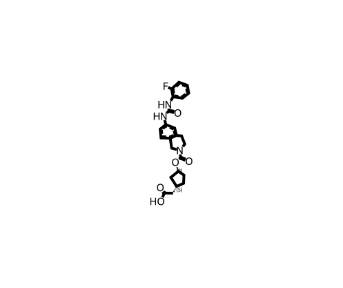 O=C(O)C[C@H]1CC[C@@H](OC(=O)N2CCc3cc(NC(=O)Nc4ccccc4F)ccc3C2)C1